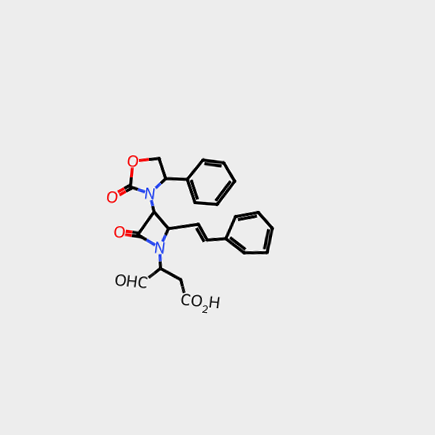 O=CC(CC(=O)O)N1C(=O)C(N2C(=O)OCC2c2ccccc2)C1/C=C/c1ccccc1